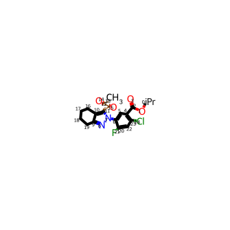 CC(C)OC(=O)c1cc(-n2nc3c(c2S(C)(=O)=O)CCCC3)c(F)cc1Cl